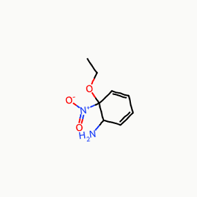 CCOC1([N+](=O)[O-])C=CC=CC1N